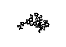 C=C[C@@H]1C[C@]1(NC(=O)[C@@H]1C[C@@H](Oc2cc(-c3csc(NC(C)C)n3)nc3cc(OC)ccc23)CN1C(=O)[C@@H](NC(=O)OC1CCCC1)C(C)(C)C)P(=O)(O)Cc1ncccc1O